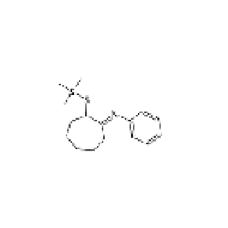 C[Si](C)(C)SC1CCCCCC1=Nc1ccccc1